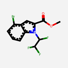 COC(=O)c1cc2c(Br)cccc2n1C(F)C(F)F